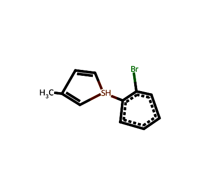 CC1=C[SH](c2ccccc2Br)C=C1